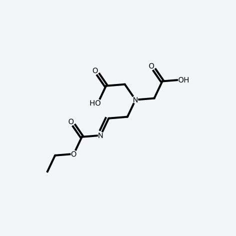 CCOC(=O)N=CCN(CC(=O)O)CC(=O)O